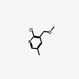 COCc1cc(C)cnc1Cl